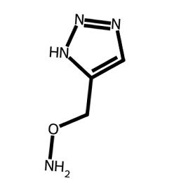 NOCc1cnn[nH]1